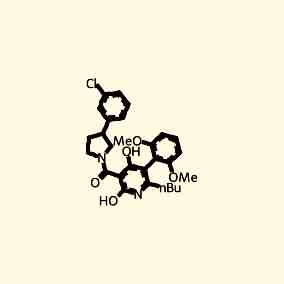 CCCCc1nc(O)c(C(=O)N2CCC(c3cccc(Cl)c3)C2)c(O)c1-c1c(OC)cccc1OC